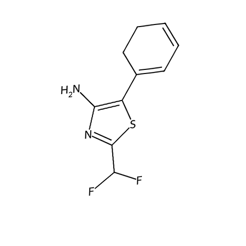 Nc1nc(C(F)F)sc1C1=CC=CCC1